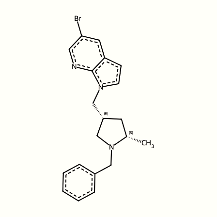 C[C@H]1C[C@@H](Cn2ccc3cc(Br)cnc32)CN1Cc1ccccc1